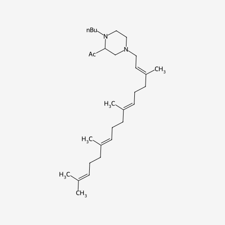 CCCCN1CCN(C/C=C(\C)CC/C=C(\C)CC/C=C(\C)CCC=C(C)C)CC1C(C)=O